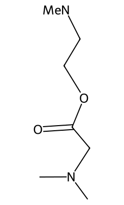 CNCCOC(=O)CN(C)C